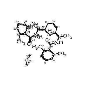 CC(NC(=O)c1c(C)cccc1C)=C1C=CCC(=C(C)NC(=O)c2c(C)cccc2C)N1.[F-].[F-].[Ti+2]